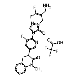 CN1C(=O)C(c2cnc(-n3cnn(CC(CN)=C(F)F)c3=O)c(F)c2)Cc2ccccc21.O=C(O)C(F)(F)F